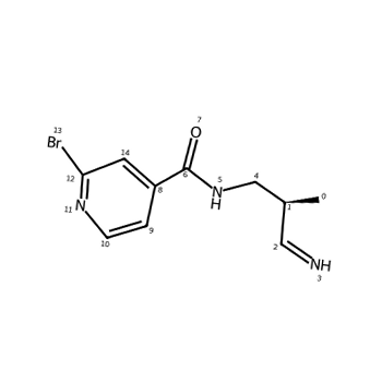 C[C@@H](C=N)CNC(=O)c1ccnc(Br)c1